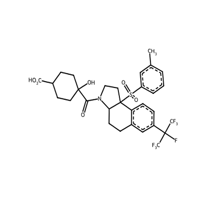 Cc1cccc(S(=O)(=O)C23CCN(C(=O)C4(O)CCC(C(=O)O)CC4)C2CCc2cc(C(F)(C(F)(F)F)C(F)(F)F)ccc23)c1